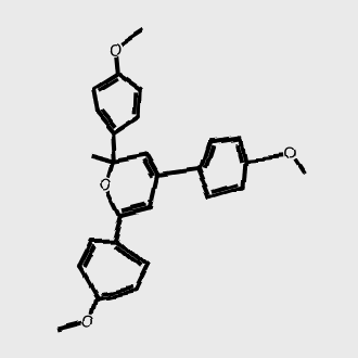 COc1ccc(C2=CC(C)(c3ccc(OC)cc3)OC(c3ccc(OC)cc3)=C2)cc1